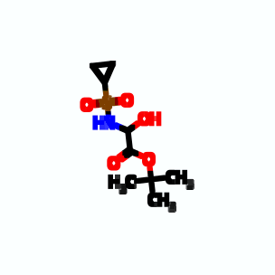 CC(C)(C)OC(=O)C(O)NS(=O)(=O)C1CC1